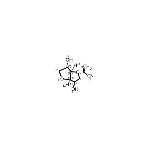 C=CC#N.O[C@@H]1CO[C@H]2[C@@H]1OC[C@@H]2O